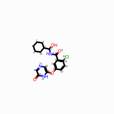 O=C(NC(O)C1CCCCC1)c1cc(Oc2cncc(=O)[nH]2)ccc1Cl